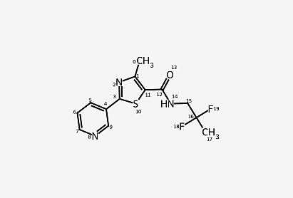 Cc1nc(-c2cccnc2)sc1C(=O)NCC(C)(F)F